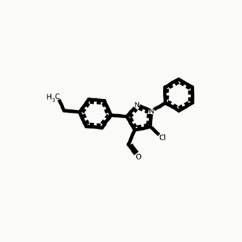 CCc1ccc(-c2nn(-c3ccccc3)c(Cl)c2C=O)cc1